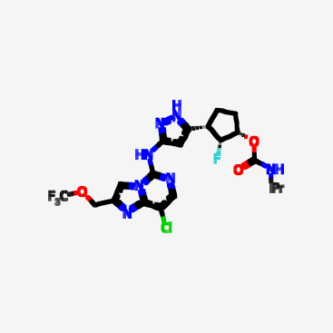 CC(C)NC(=O)O[C@H]1CC[C@@H](c2cc(Nc3ncc(Cl)c4nc(COC(F)(F)F)cn34)n[nH]2)[C@H]1F